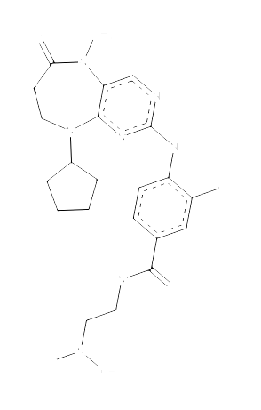 CN(C)CCNC(=O)c1ccc(Nc2ncc3c(n2)N(C2CCCC2)CCC(=O)N3C)c(Cl)c1